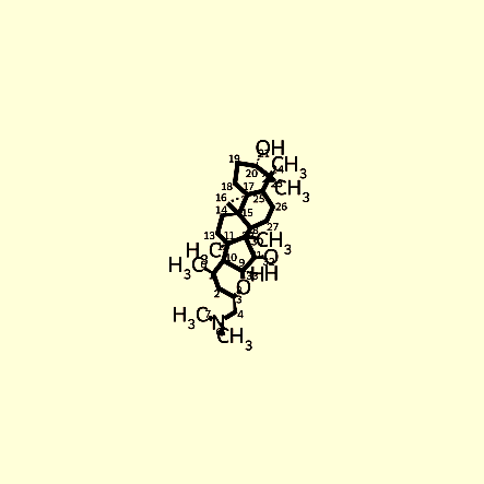 C[C@@H]1C[C@H](CN(C)C)O[C@H]2C1[C@@]1(C)CC[C@@]34C[C@@]35CC[C@H](O)C(C)(C)C5CCC4[C@]1(C)[C@H]2O